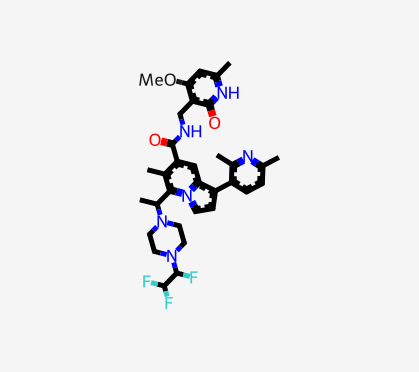 COc1cc(C)[nH]c(=O)c1CNC(=O)c1cc2c(-c3ccc(C)nc3C)ccn2c(C(C)N2CCN(C(F)C(F)F)CC2)c1C